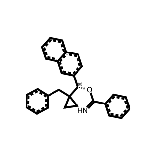 N=C(O[C@@H](c1ccc2ccccc2c1)C1(Cc2ccccc2)CC1)c1ccccc1